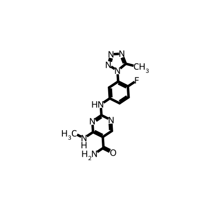 CNc1nc(Nc2ccc(F)c(-n3nnnc3C)c2)ncc1C(N)=O